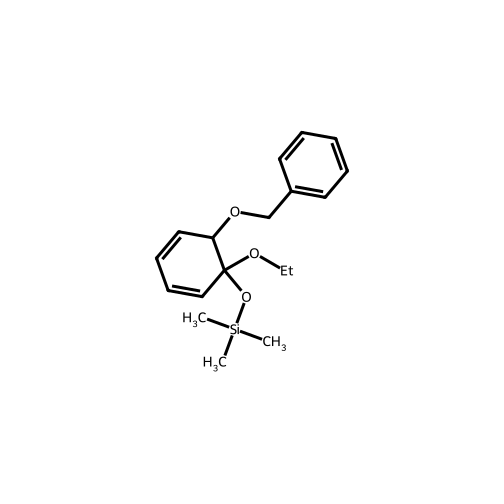 CCOC1(O[Si](C)(C)C)C=CC=CC1OCc1ccccc1